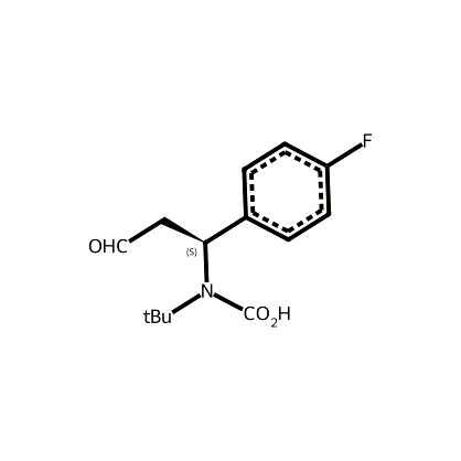 CC(C)(C)N(C(=O)O)[C@@H](CC=O)c1ccc(F)cc1